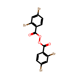 O=C(OOC(=O)c1ccc(Br)cc1Br)c1ccc(Br)cc1Br